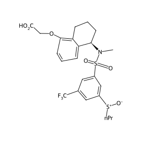 CCC[S+]([O-])c1cc(C(F)(F)F)cc(S(=O)(=O)N(C)[C@@H]2CCCc3c(OCC(=O)O)cccc32)c1